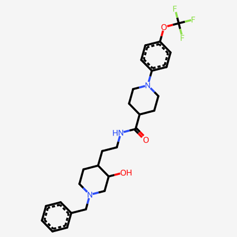 O=C(NCCC1CCN(Cc2ccccc2)CC1O)C1CCN(c2ccc(OC(F)(F)F)cc2)CC1